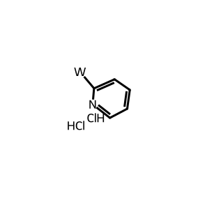 Cl.Cl.[W][c]1ccccn1